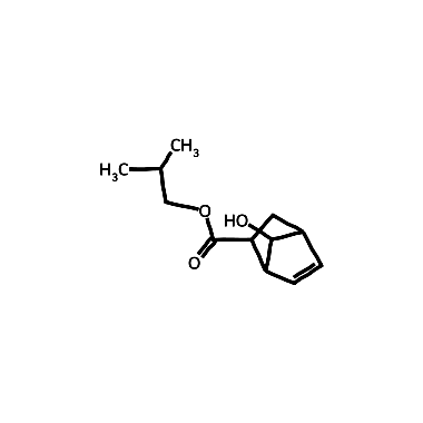 CC(C)COC(=O)C1CC2C=CC1C2O